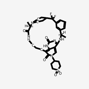 C[C@@H]1C(=O)NCCCCc2c(=O)n(C3CCS(=O)(=O)CC3)cc3c(nc(=O)[nH]c23)N[C@H](C)c2cccc(c2)C(F)(F)C2CCN1CC2